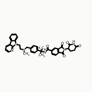 CN(CCn1c2ccccc2c2cccnc21)Cc1ccc(C(C)(C)NC(=O)c2ccc3c(c2)C(=O)N(C2CCC(=O)NC2=O)C3=O)cc1